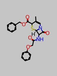 CC1=CN2C(=O)C(NC(=O)COc3ccccc3)[C@H]2SC1C(=O)OCc1ccccc1